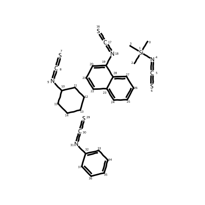 C[Si](C)(C)N=C=S.S=C=NC1CCCCC1.S=C=Nc1cccc2ccccc12.S=C=Nc1ccccc1